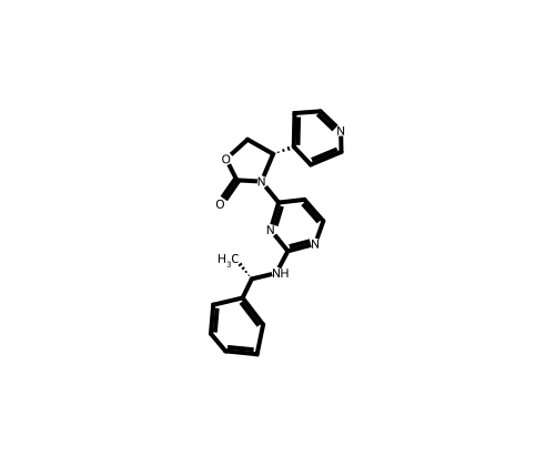 C[C@H](Nc1nccc(N2C(=O)OC[C@@H]2c2ccncc2)n1)c1ccccc1